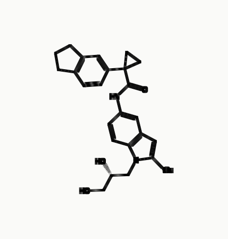 CC(C)(C)c1cc2cc(NC(=O)C3(c4ccc5c(c4)CCC5)CC3)ccc2n1C[C@@H](O)CO